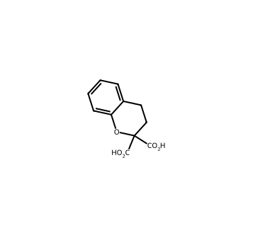 O=C(O)C1(C(=O)O)CCc2ccccc2O1